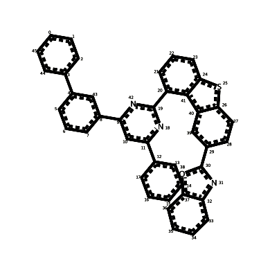 c1ccc(-c2cccc(-c3cc(-c4ccccc4)nc(-c4cccc5sc6ccc(-c7nc8ccccc8o7)cc6c45)n3)c2)cc1